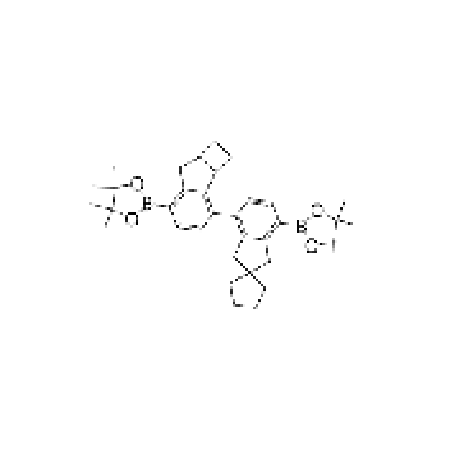 CC1(C)OB(c2ccc(-c3ccc(B4OC(C)(C)C(C)(C)O4)c4c3C3CCC3C4)c3c2CC2(CCCC2)C3)OC1(C)C